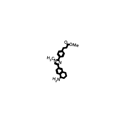 COC(=O)CCc1ccc(-c2nc(-c3ccc4c(c3)CCCC4N)cn2C)cc1